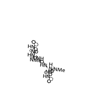 CN[C@@H](C)C(=O)N[C@@H](CCNCc1ccc(CNCC[C@H](NC(=O)[C@H](C)NC)C(=O)N2CCC[C@H]2C(=O)N[C@@H]2CCCc3ccccc32)cc1)C(=O)N1CCC[C@H]1C(=O)N[C@@H]1CCCc2ccccc21